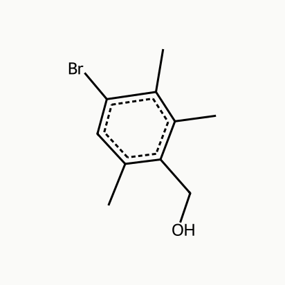 Cc1cc(Br)c(C)c(C)c1CO